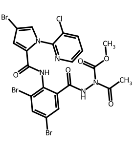 COC(=O)N(NC(=O)c1cc(Br)cc(Br)c1NC(=O)c1cc(Br)cn1-c1ncccc1Cl)C(C)=O